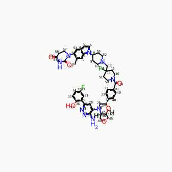 Cc1cc2c(ccn2C2CCN(CC3(F)CCN(C(=O)c4ccc([C@@H]5CN(c6cc(-c7cc(F)ccc7O)nnc6N)[C@@H]6COC[C@@H]6O5)cc4)CC3)CC2)cc1N1CCC(=O)NC1=O